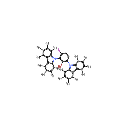 [2H]c1c([2H])c([2H])c2c(c1[2H])c1c([2H])c([2H])c([2H])c([2H])c1n2-c1ccc(I)c(-n2c3c([2H])c([2H])c([2H])c([2H])c3c3c([2H])c([2H])c([2H])c([2H])c32)c1Br